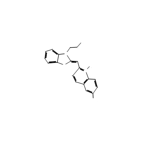 CC[n+]1c(/C=C2\Sc3ccccc3N2CCO)ccc2cc(C)ccc21